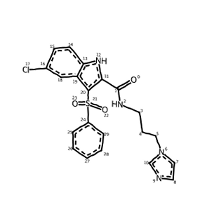 O=C(NCCCn1ccnc1)c1[nH]c2ccc(Cl)cc2c1S(=O)(=O)c1ccccc1